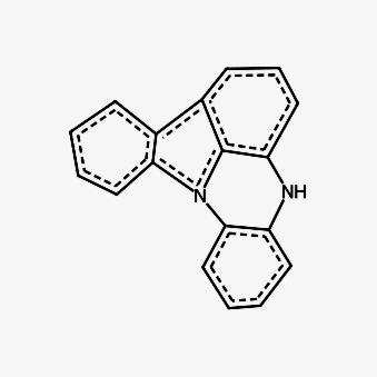 c1ccc2c(c1)Nc1cccc3c4ccccc4n-2c13